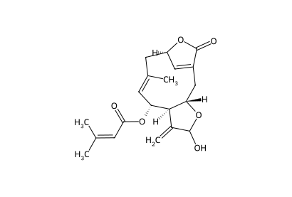 C=C1C(O)O[C@H]2CC3=C[C@@H](C/C(C)=C/[C@@H](OC(=O)C=C(C)C)[C@H]12)OC3=O